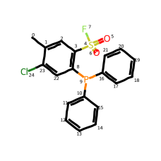 Cc1cc(S(=O)(=O)F)c(P(c2ccccc2)c2ccccc2)cc1Cl